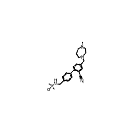 CN1CCCN(Cc2ccc(-c3ccc(CNP(C)(C)=O)cc3)c(C#N)c2)CC1